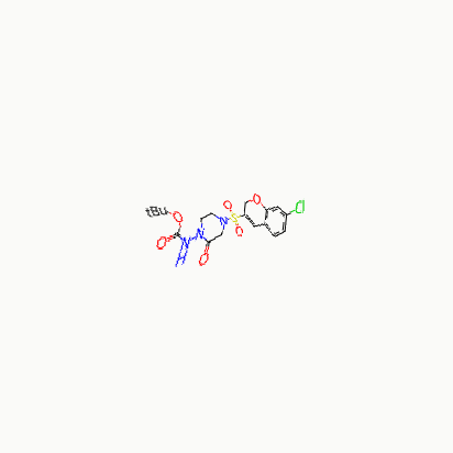 CC(C)(C)OC(=O)NN1CCN(S(=O)(=O)C2=Cc3ccc(Cl)cc3OC2)CC1=O